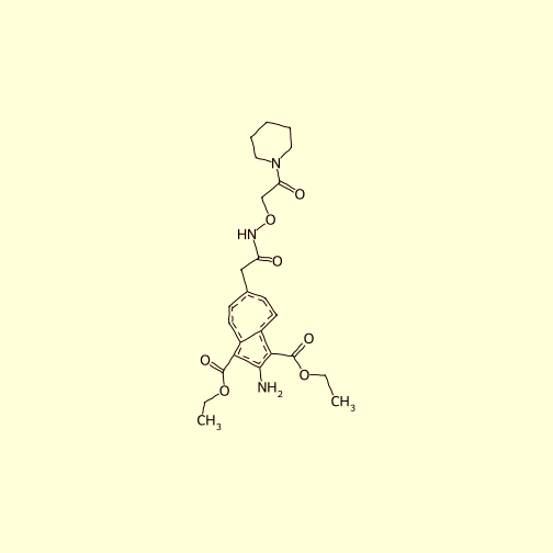 CCOC(=O)c1c2ccc(CC(=O)NOCC(=O)N3CCCCC3)ccc-2c(C(=O)OCC)c1N